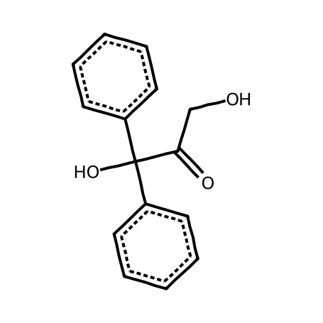 O=C(CO)C(O)(c1ccccc1)c1ccccc1